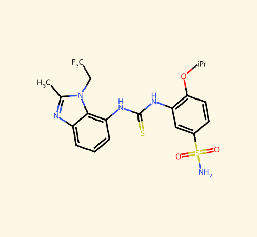 Cc1nc2cccc(NC(=S)Nc3cc(S(N)(=O)=O)ccc3OC(C)C)c2n1CC(F)(F)F